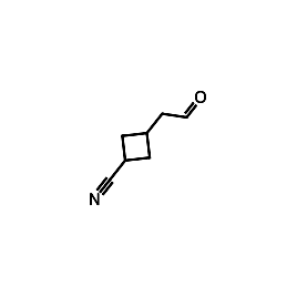 N#CC1CC(CC=O)C1